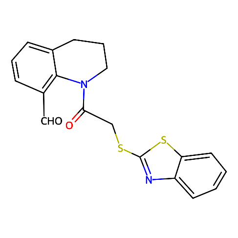 O=Cc1cccc2c1N(C(=O)CSc1nc3ccccc3s1)CCC2